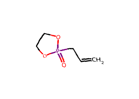 C=CCP1(=O)OCCO1